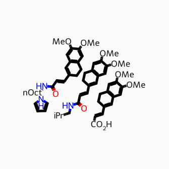 CCCCCCCCNC(=O)C=CC1=Cc2cc(OC)c(OC)cc2CC1.COc1cc2c(cc1OC)CCC(C=CC(=O)NCC(C)C)=C2.COc1cc2c(cc1OC)CCC(C=CC(=O)O)=C2.c1cc[nH]c1